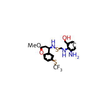 COC(=O)CC(NSCNc1c(N)cccc1CO)c1cccc(SC(F)(F)F)c1